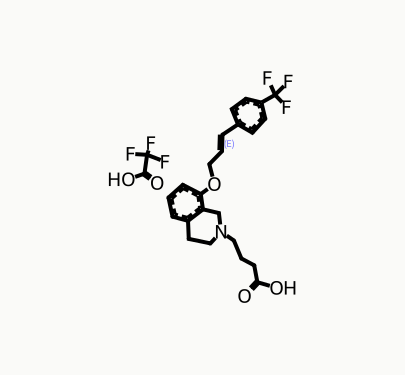 O=C(O)C(F)(F)F.O=C(O)CCCN1CCc2cccc(OC/C=C/c3ccc(C(F)(F)F)cc3)c2C1